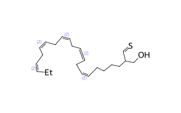 CC/C=C\C/C=C\C/C=C\C/C=C\C/C=C\CCCCC(C=S)CO